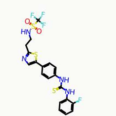 O=S(=O)(NCCc1ncc(-c2ccc(NC(=S)Nc3ccccc3F)cc2)s1)C(F)(F)F